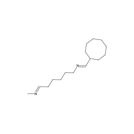 C/N=C/CCCCC/N=C/C1CCCCCCC1